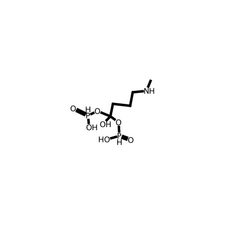 CNCCCC(O)(O[PH](=O)O)O[PH](=O)O